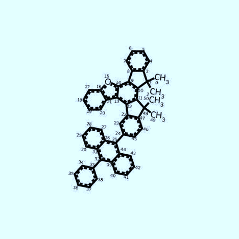 CC1(C)c2ccccc2-c2c1c1c(c3c2oc2ccccc23)-c2cc(-c3c4ccccc4c(-c4ccccc4)c4ccccc34)ccc2C1(C)C